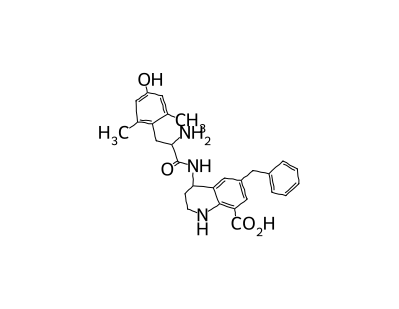 Cc1cc(O)cc(C)c1CC(N)C(=O)NC1CCNc2c(C(=O)O)cc(Cc3ccccc3)cc21